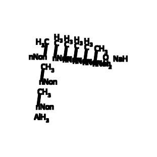 CCCCCCCCCC.CCCCCCCCCC.CCCCCCCCCC.CCCCCCCCCC.CCCCCCCCCC.CCCCCCCCCC.CCCCCCCCCC.CCCCCCCCCC.O.[AlH3].[NaH]